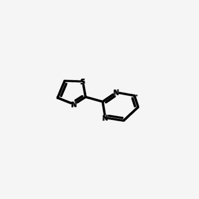 [c]1ccnc(-c2nccs2)n1